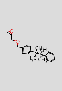 C[Si](C)(c1ccccc1)[Si](C)(C)c1ccc(COCC2CO2)cc1